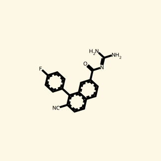 N#Cc1ccc2ccc(C(=O)N=C(N)N)cc2c1-c1ccc(F)cc1